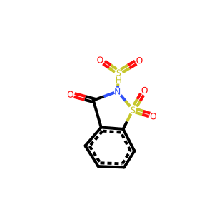 O=C1c2ccccc2S(=O)(=O)N1[SH](=O)=O